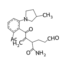 C=C(C(=O)c1c(C(C)=O)cccc1N1CCC(C)C1)C(CCC=O)C(N)=O